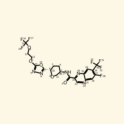 O=C(N[C@@H]1CC[C@@H](c2nnc(OCCOC(F)(F)F)o2)OC1)c1cnc2cc(F)c(C(F)(F)F)cc2n1